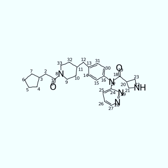 O=C(CC1CCCC1)N1CCC(Cc2ccc(N(C(=O)C3CNC3)c3cccnn3)cc2)CC1